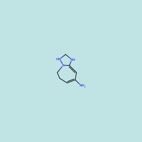 NC1=CCCN2NCNC2=C1